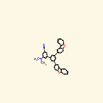 CN(C)c1cc(C#N)cc(-c2cc(-c3ccc4oc5ccccc5c4c3)cc(-c3ccc4oc5ccccc5c4c3)c2)c1